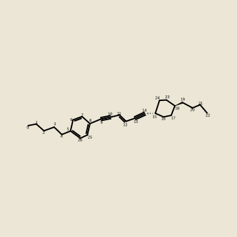 CCCCCc1ccc(C#C/C=C/C#C[C@H]2CC[C@H](CCCC)CC2)cc1